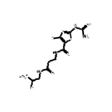 CCC(CNC(=O)CCNC(=O)c1sc(NC(=N)N)nc1C)C(=O)O